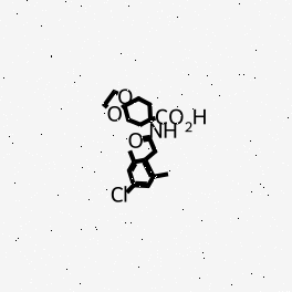 Cc1cc(Cl)cc(C)c1CC(=O)NC1(C(=O)O)CCC2(CC1)OCCO2